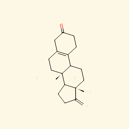 C=C1CC[C@H]2[C@@H]3[C@H](C)CC4=C(CCC(=O)C4)[C@H]3CC[C@]12C